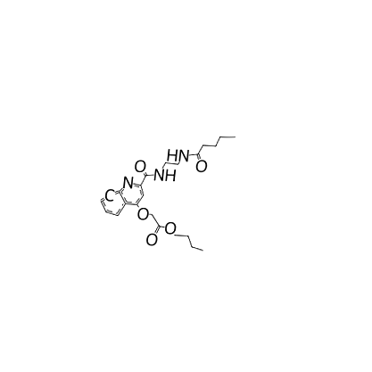 CCCCOC(=O)COc1cc(C(=O)NCCNC(=O)CCCC)nc2ccccc12